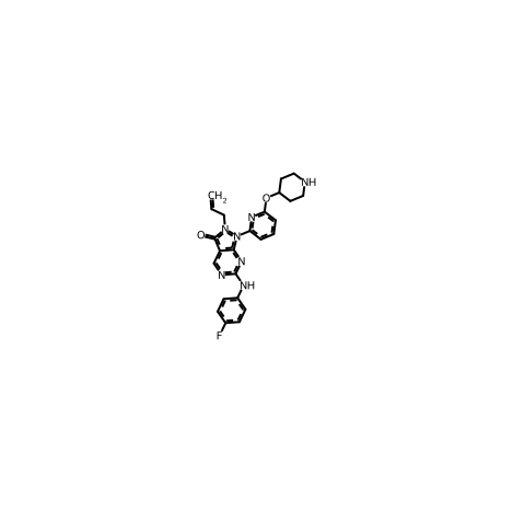 C=CCn1c(=O)c2cnc(Nc3ccc(F)cc3)nc2n1-c1cccc(OC2CCNCC2)n1